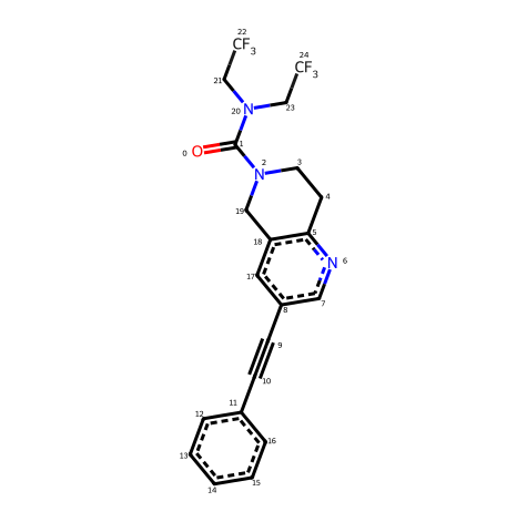 O=C(N1CCc2ncc(C#Cc3ccccc3)cc2C1)N(CC(F)(F)F)CC(F)(F)F